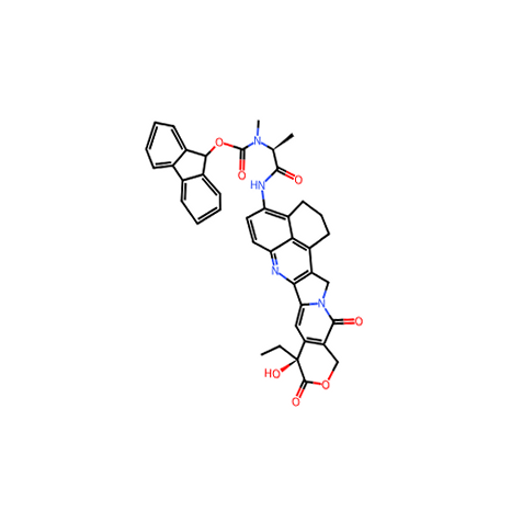 CC[C@@]1(O)C(=O)OCc2c1cc1n(c2=O)Cc2c-1nc1ccc(NC(=O)[C@H](C)N(C)C(=O)OC3c4ccccc4-c4ccccc43)c3c1c2CCC3